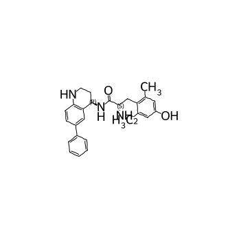 Cc1cc(O)cc(C)c1C[C@H](N)C(=O)N[C@@H]1CCNc2ccc(-c3ccccc3)cc21